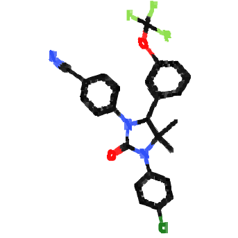 CC1(C)C(c2cccc(OC(F)(F)F)c2)N(c2ccc(C#N)cc2)C(=O)N1c1ccc(Cl)cc1